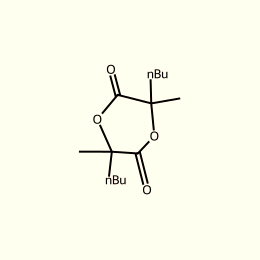 CCCCC1(C)OC(=O)C(C)(CCCC)OC1=O